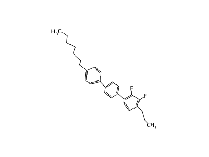 CCCCCCCc1ccc(-c2ccc(-c3ccc(CCC)c(F)c3F)cc2)cc1